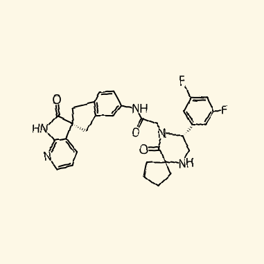 O=C(CN1C(=O)C2(CCCC2)NC[C@H]1c1cc(F)cc(F)c1)Nc1ccc2c(c1)C[C@@]1(C2)C(=O)Nc2ncccc21